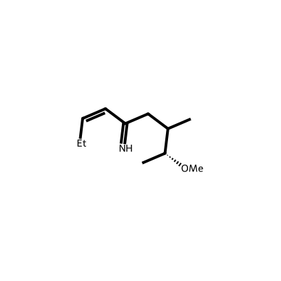 CC/C=C\C(=N)CC(C)[C@@H](C)OC